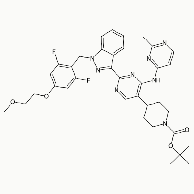 COCCOc1cc(F)c(Cn2nc(-c3ncc(C4CCN(C(=O)OC(C)(C)C)CC4)c(Nc4ccnc(C)n4)n3)c3ccccc32)c(F)c1